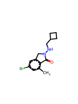 Cc1cc(Br)cc2c1C(=O)N(NCC1CCC1)C2